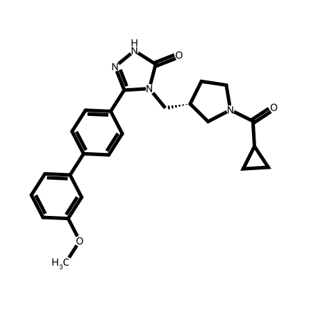 COc1cccc(-c2ccc(-c3n[nH]c(=O)n3C[C@@H]3CCN(C(=O)C4CC4)C3)cc2)c1